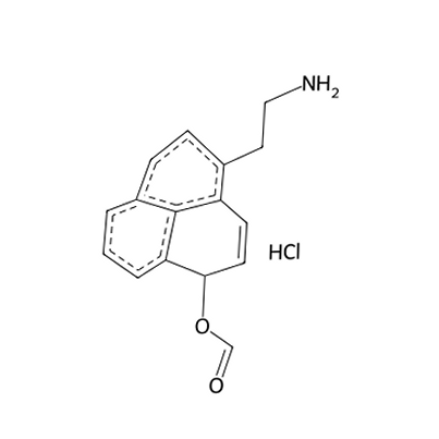 Cl.NCCc1ccc2cccc3c2c1C=CC3OC=O